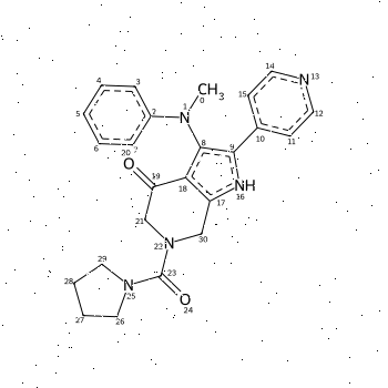 CN(c1ccccc1)c1c(-c2ccncc2)[nH]c2c1C(=O)CN(C(=O)N1CCCC1)C2